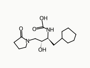 O=C(O)N[C@@H](CC1CCCCC1)[C@H](O)CN1CCCC1=O